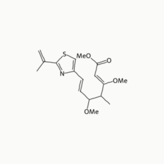 C=C(C)c1nc(C=CC(OC)C(C)C(=CC(=O)OC)OC)cs1